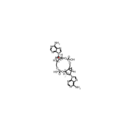 C[C@H]1[C@H]2OP(=O)(O)OCC34C[C@@H]3[C@@H](n3cnc5c(N)ncnc53)[C@H](C)[C@@H]4O[P@@](=O)(S)OC[C@H]1O[C@H]2n1cnc2c(N)ncnc21